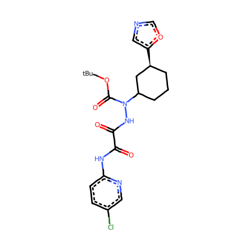 CC(C)(C)OC(=O)N(NC(=O)C(=O)Nc1ccc(Cl)cn1)C1CCC[C@H](c2cnco2)C1